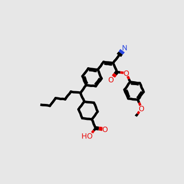 CCCCCC(c1ccc(C=C(C#N)C(=O)Oc2ccc(OC)cc2)cc1)C1CCC(C(=O)O)CC1